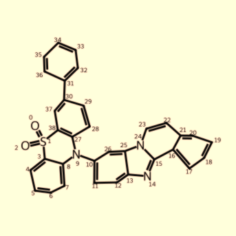 O=S1(=O)c2ccccc2N(c2ccc3nc4c5ccccc5ccn4c3c2)c2ccc(-c3ccccc3)cc21